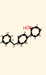 Oc1ccccc1-c1ccc(Cc2ccccc2)cc1